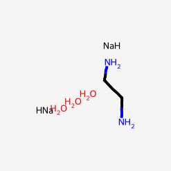 NCCN.O.O.O.[NaH].[NaH]